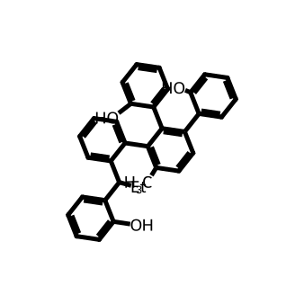 CCC(c1ccccc1O)c1ccccc1-c1c(C)ccc(-c2ccccc2O)c1-c1ccccc1O